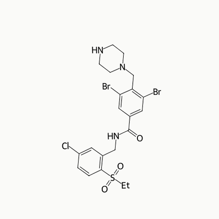 CCS(=O)(=O)c1ccc(Cl)cc1CNC(=O)c1cc(Br)c(CN2CCNCC2)c(Br)c1